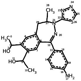 CC(O)c1cc2c(cc1C(C)O)C(c1ccc(N)cc1)=NN(c1nncs1)C(C)C2